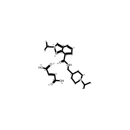 CC(C)N1CCC(CNC(=O)c2cccc3cn(C(C)C)nc23)CC1.O=C(O)C=CC(=O)O